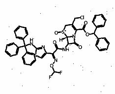 O=C(NC1C(=O)N2C(C(=O)OC(c3ccccc3)c3ccccc3)=C(CCl)C[S+]([O-])[C@@H]12)C(=NOC(F)F)c1csc(NC(c2ccccc2)(c2ccccc2)c2ccccc2)n1